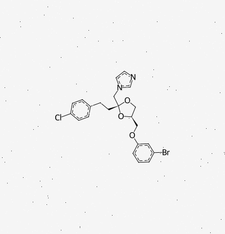 Clc1ccc(CC[C@@]2(Cn3ccnc3)OC[C@@H](COc3cccc(Br)c3)O2)cc1